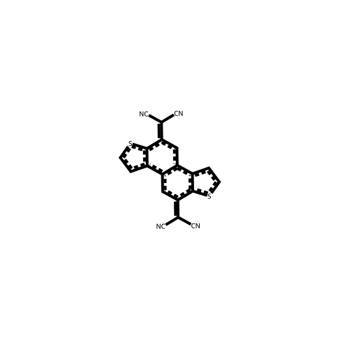 N#CC(C#N)=c1cc2c3ccsc3c(=C(C#N)C#N)cc2c2ccsc12